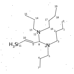 CCCCN(CCC)C(C=C[SiH3])N(CCC)CCCC